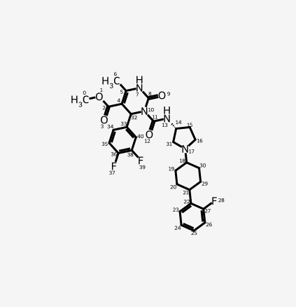 COC(=O)C1=C(C)NC(=O)N(C(=O)N[C@@H]2CCN(C3CCC(c4ccccc4F)CC3)C2)C1c1ccc(F)c(F)c1